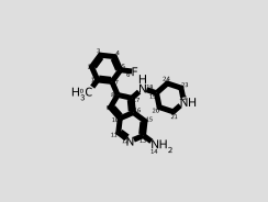 Cc1cccc(F)c1C1C=c2cnc(N)cc2=C1NC1CCNCC1